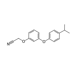 CC(C)c1ccc(Oc2cccc(OCC#N)c2)cc1